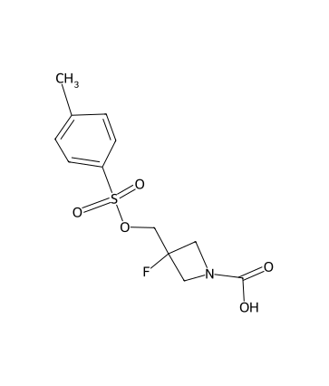 Cc1ccc(S(=O)(=O)OCC2(F)CN(C(=O)O)C2)cc1